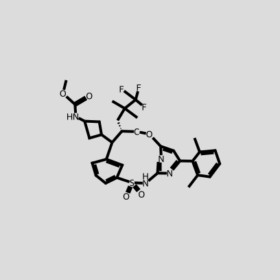 COC(=O)NC1CC(C2c3cccc(c3)S(=O)(=O)Nc3nc(cc(-c4c(C)cccc4C)n3)OC[C@H]2CC(C)(C)C(F)(F)F)C1